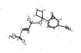 N#Cc1ccc(C2(OC(=O)/C=C/C(=O)O)CCC2)cc1